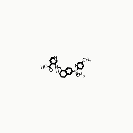 Cc1ccc(N(C)c2ccc3c(c2)CCC[C@H]3CNc2cnccc2C(=O)O)nc1